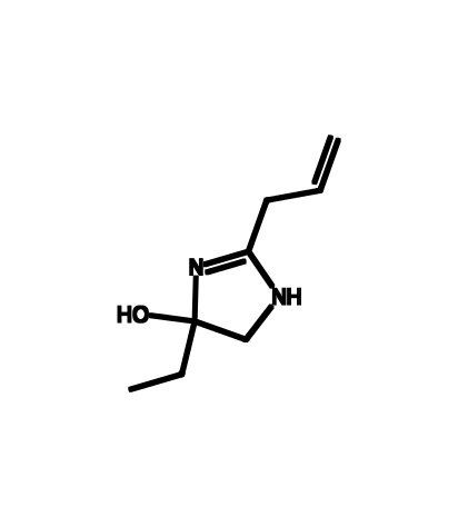 C=CCC1=NC(O)(CC)CN1